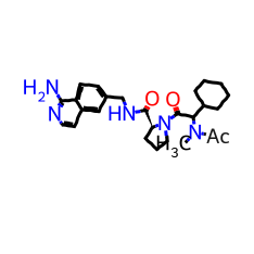 CC(=O)N(C)C(C(=O)N1CCC[C@H]1C(=O)NCc1ccc2c(N)nccc2c1)C1CCCCC1